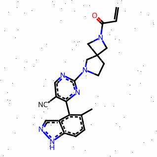 C=CC(=O)N1CC2(CCN(c3ncc(C#N)c(-c4c(C)ccc5[nH]ncc45)n3)C2)C1